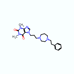 Cn1c(=O)c2c(ncn2CCCN2CCCN(CCc3ccccc3)CC2)n(C)c1=O